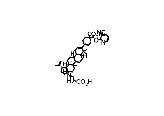 C=C(C)[C@@H]1CC[C@]2(NCC(C)C(=O)O)CC[C@]3(C)[C@H](CC[C@@H]4[C@@]5(C)CC=C(C6=CC[C@](COc7ncccc7C#N)(C(=O)O)CC6)C(C)(C)[C@@H]5CC[C@]43C)[C@@H]12